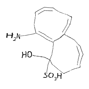 Nc1cccc2c1C(O)(S(=O)(=O)O)CC=C2